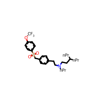 CCCC(CCC)CCN(CCC)CCc1ccc(CS(=O)(=O)c2ccc(OC(F)(F)F)cc2)cc1